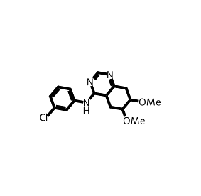 COC1CC2=NC=NC(Nc3cccc(Cl)c3)C2CC1OC